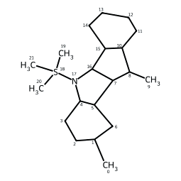 CC1CCC2C(C1)C1C(C)C3CCCCC3C1N2S(C)(C)C